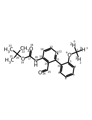 [2H]C([2H])([2H])Oc1ccccc1-c1nccc(NC(=O)OC(C)(C)C)c1C=O